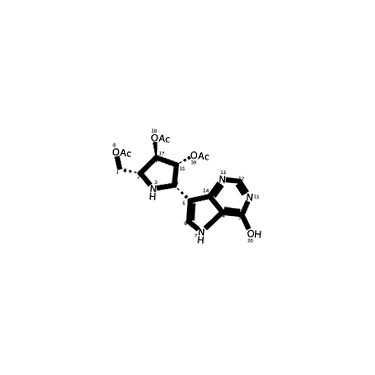 CC(=O)OC[C@H]1N[C@@H](c2c[nH]c3c(O)ncnc23)[C@@H](OC(C)=O)[C@@H]1OC(C)=O